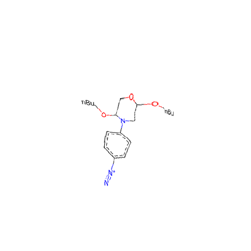 CCCCOC1CN(c2ccc([N+]#N)cc2)C(OCCCC)CO1